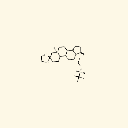 CC(C)(C)[Si](C)(C)OCC[C@]12CCC3C(CC[C@H]4CC5(CCC34)OCCO5)C1CCC2=O